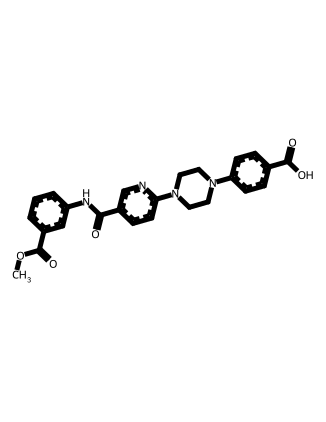 COC(=O)c1cccc(NC(=O)c2ccc(N3CCN(c4ccc(C(=O)O)cc4)CC3)nc2)c1